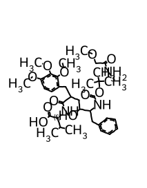 COCC(N)=O.COc1ccc(CC(CC(O)C(Cc2ccccc2)NC(=O)OC(C)(C)C)C(=O)N[C@H](C(=O)O)C(C)C)c(OC)c1OC